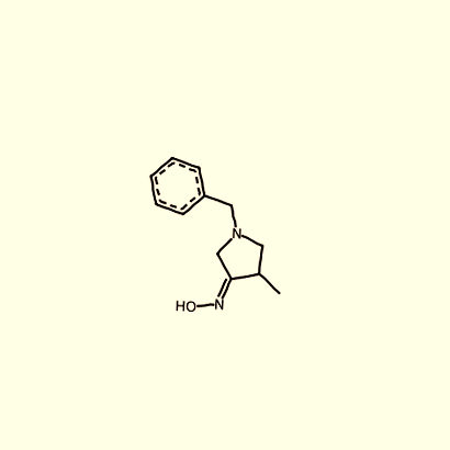 CC1CN(Cc2ccccc2)CC1=NO